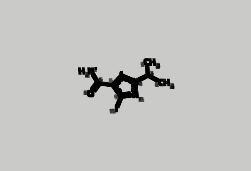 CC(C)n1cc(C(N)=O)c(I)n1